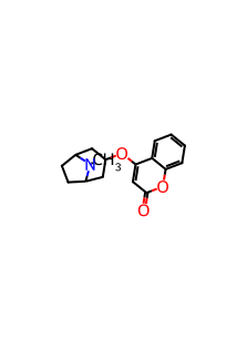 CN1C2CCC1CC(Oc1cc(=O)oc3ccccc13)C2